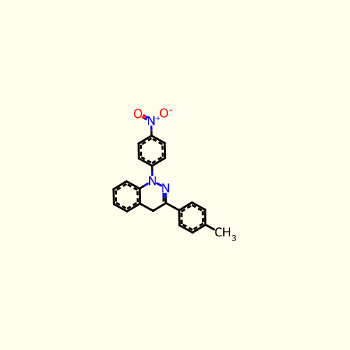 Cc1ccc(C2=NN(c3ccc([N+](=O)[O-])cc3)c3ccccc3C2)cc1